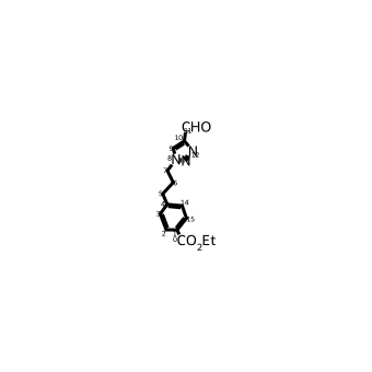 CCOC(=O)c1ccc(CCCn2cc(C=O)nn2)cc1